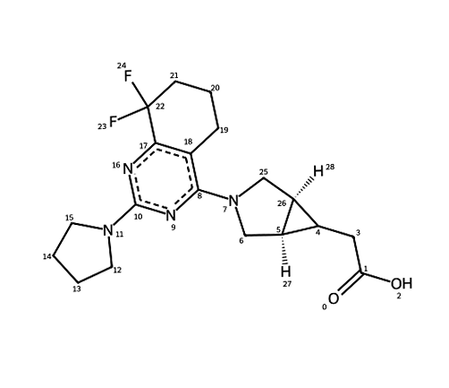 O=C(O)CC1[C@H]2CN(c3nc(N4CCCC4)nc4c3CCCC4(F)F)C[C@@H]12